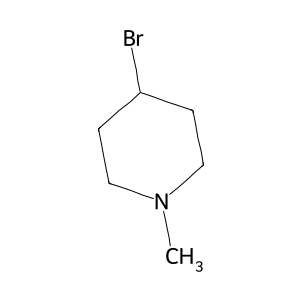 CN1CCC(Br)CC1